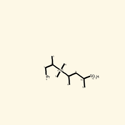 CC(C)CC(C)[N+](C)(C)C(C)CC(C)S(=O)(=O)O